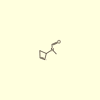 CN(C=O)C1[C]=CC1